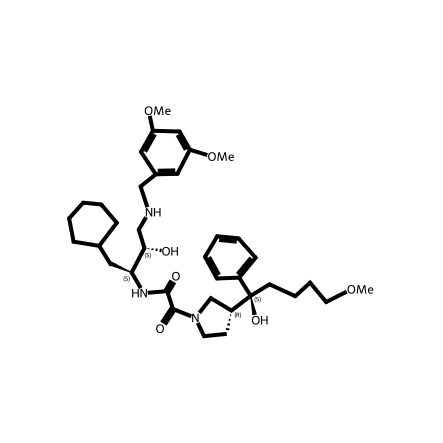 COCCCC[C@@](O)(c1ccccc1)[C@@H]1CCN(C(=O)C(=O)N[C@@H](CC2CCCCC2)[C@@H](O)CNCc2cc(OC)cc(OC)c2)C1